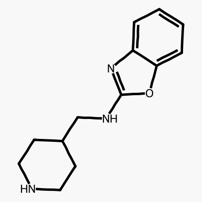 c1ccc2oc(NCC3CCNCC3)nc2c1